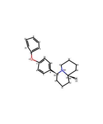 c1ccc(Oc2ccc([C@@H]3CCC[C@H]4CCCCN43)cc2)cc1